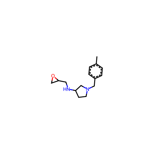 Cc1ccc(CN2CCC(NCC3CO3)C2)cc1